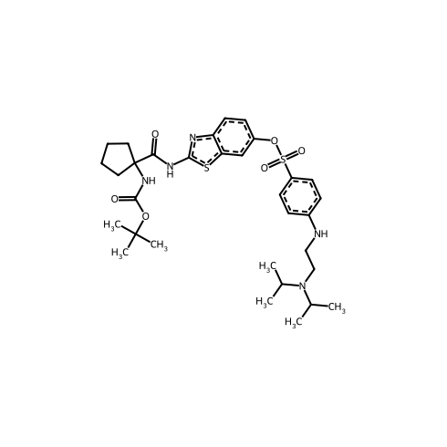 CC(C)N(CCNc1ccc(S(=O)(=O)Oc2ccc3nc(NC(=O)C4(NC(=O)OC(C)(C)C)CCCC4)sc3c2)cc1)C(C)C